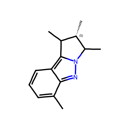 Cc1cccc2c3n(nc12)C(C)[C@@H](C)C3C